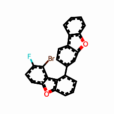 Fc1ccc2oc3cccc(-c4ccc5c(c4)oc4ccccc45)c3c2c1Br